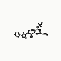 C=CCOC[C@H](NC(=O)OC(C)(C)C)C(=O)Nc1nc(-c2ccccc2)cs1